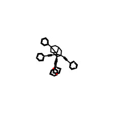 C(#CC1C2CC3CC(c4ccccc4)(C2)C(C#Cc2ccccc2)(C#Cc2ccccc2)C1(C#Cc1ccccc1)C3)c1ccccc1